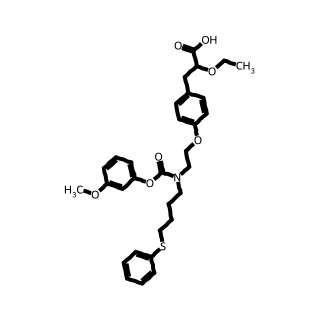 CCOC(Cc1ccc(OCCN(CCCCSc2ccccc2)C(=O)Oc2cccc(OC)c2)cc1)C(=O)O